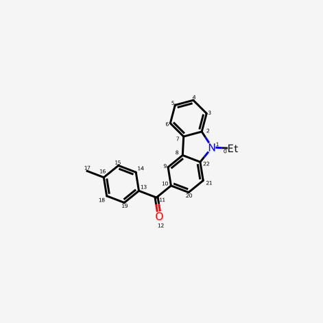 CCn1c2ccccc2c2cc(C(=O)c3ccc(C)cc3)ccc21